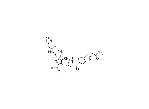 C[C@@H](NC(=O)Cn1cnnn1)[C@H]1CN2C(C(=O)O)=C(S[C@@H]3CN[C@H](C(=O)N4CCC(CNCC(N)=O)CC4)C3)[C@H](C)[C@H]12